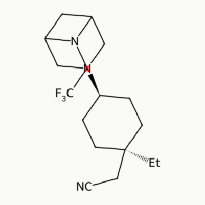 CC[C@]1(CC#N)CC[C@@H](N2CC3CC(C2)N3CC(F)(F)F)CC1